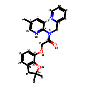 Cc1ccc(N(Cc2ccccn2)C(=O)COc2cccc3c2OC(C)(C)C3)nc1